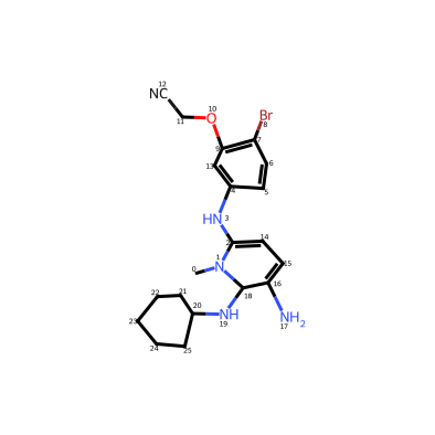 CN1C(Nc2ccc(Br)c(OCC#N)c2)=CC=C(N)C1NC1CCCCC1